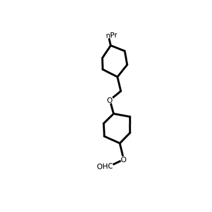 CCCC1CCC(COC2CCC(OC=O)CC2)CC1